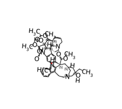 CCc1cc2c(cc1[C@@]1(C(=O)OC)C[C@@H]3C[N@](CCc4c1[nH]c1ccccc41)C[C@](O)(CC)C3)[C@@]13CCN4CC=C[C@@](CC)([C@@H](OC(C)=O)[C@](O)(C(=O)OC)[C@@H]1N2C=O)[C@H]43